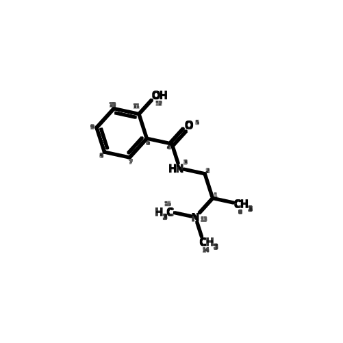 CC(CNC(=O)c1ccccc1O)N(C)C